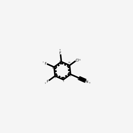 N#Cc1cc(F)c(F)c(F)c1Cl